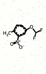 Cc1ccc(OC(F)F)cc1[N+](=O)[O-]